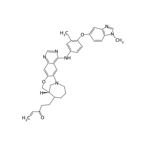 C=CC(=O)CCC1CCCN2C[C@H]1COc1cc3ncnc(Nc4ccc(Oc5ccc6c(c5)ncn6C)c(C)c4)c3cc12